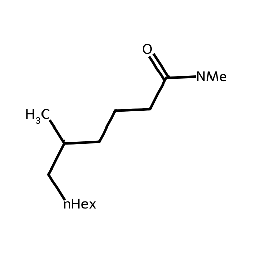 CCCCCCC[C](C)CCCC(=O)NC